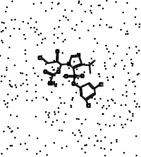 CC(C)c1ncn(C(OC(N)=O)C(=O)CCl)c1S(=O)(=O)Oc1cc(Cl)cc(Cl)c1